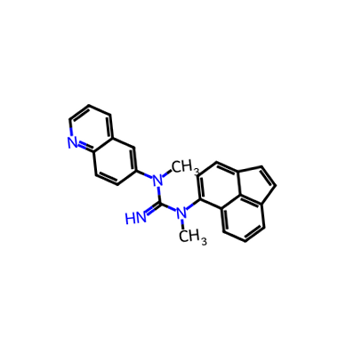 CN(C(=N)N(C)c1ccc2c3c(cccc13)C=C2)c1ccc2ncccc2c1